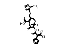 Cn1nnnc1SCC1=C(C(=O)O)N2C(=O)C(NC(=O)C(=C(Cl)Cl)c3ccsc3)[C@@H]2SC1